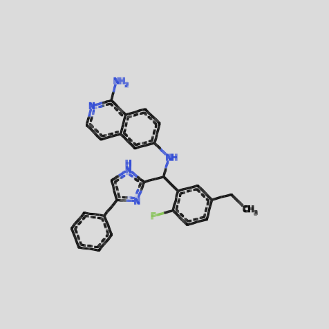 CCc1ccc(F)c(C(Nc2ccc3c(N)nccc3c2)c2nc(-c3ccccc3)c[nH]2)c1